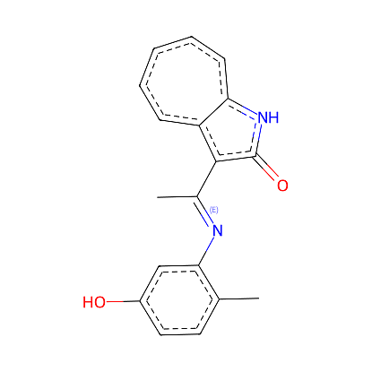 C/C(=N\c1cc(O)ccc1C)c1c2cccccc-2[nH]c1=O